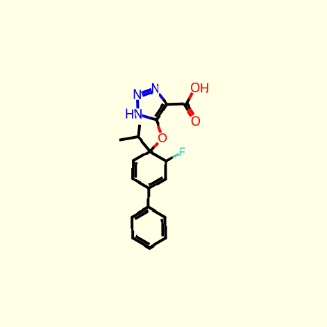 CC(C)C1(Oc2[nH]nnc2C(=O)O)C=CC(c2ccccc2)=CC1F